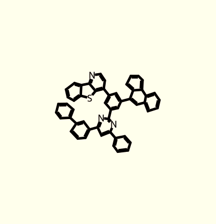 c1ccc(-c2cccc(-c3cc(-c4ccccc4)nc(-c4cc(-c5cc6ccccc6c6ccccc56)cc(-c5ccnc6c5sc5ccccc56)c4)n3)c2)cc1